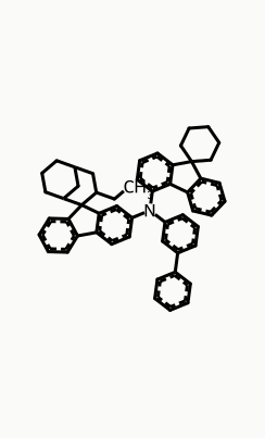 CCC1CC2CCCC(C2)C12c1ccccc1-c1ccc(N(c3cccc(-c4ccccc4)c3)c3cccc4c3-c3ccccc3C43CCCCC3)cc12